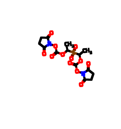 CC(OC(=O)ON1C(=O)CCC1=O)S(=O)(=O)C(C)OC(=O)ON1C(=O)CCC1=O